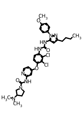 CCCCc1cc(NC(=O)Nc2ccc(Oc3ccnc(NC(=O)N4CCC(N(C)C)C4)c3)c(Cl)c2Cl)n(-c2ccc(OC)cc2)n1